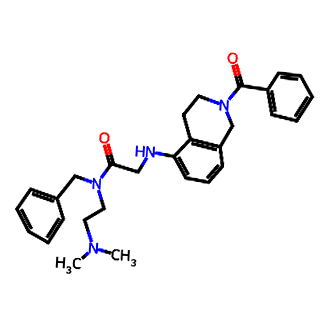 CN(C)CCN(Cc1ccccc1)C(=O)CNc1cccc2c1CCN(C(=O)c1ccccc1)C2